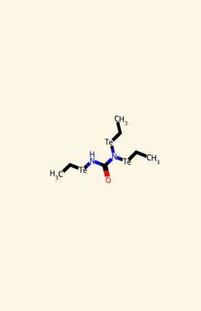 CC[Te]NC(=O)N([Te]CC)[Te]CC